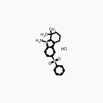 CC1(C)CCCc2c1n(N)c1ccc(S(=O)(=O)c3ccccc3)cc21.Cl